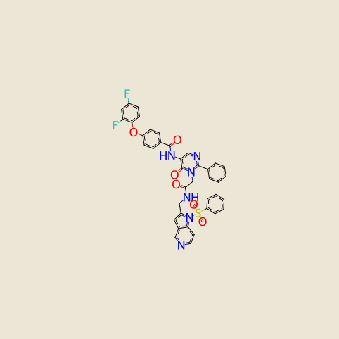 O=C(Cn1c(-c2ccccc2)ncc(NC(=O)c2ccc(Oc3ccc(F)cc3F)cc2)c1=O)NCc1cc2cnccc2n1S(=O)(=O)c1ccccc1